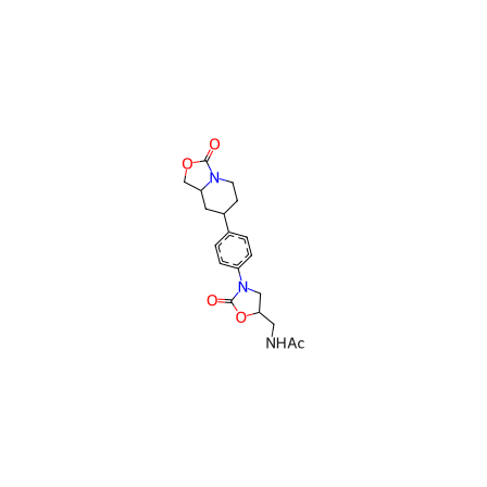 CC(=O)NCC1CN(c2ccc(C3CCN4C(=O)OCC4C3)cc2)C(=O)O1